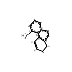 Cc1cccc2ccc3c(c12)C=CCC3